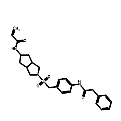 C=CC(=O)NC1CC2CN(S(=O)(=O)Cc3ccc(NC(=O)Cc4ccccc4)cc3)CC2C1